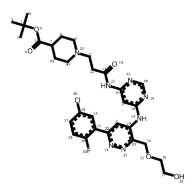 CC(C)(C)OC(=O)C1CCN(CCC(=O)Nc2cc(Nc3cc(-c4cc(Cl)ccc4F)nnc3COCCO)ncn2)CC1